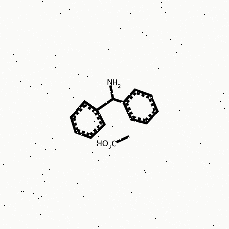 CC(=O)O.NC(c1ccccc1)c1ccccc1